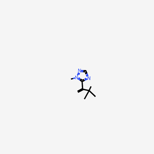 C=C(c1ncnn1C)C(C)(C)C